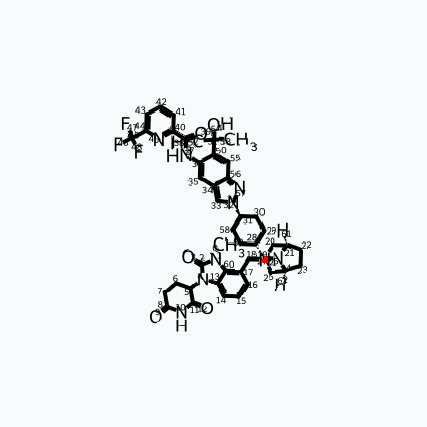 Cn1c(=O)n(C2CCC(=O)NC2=O)c2cccc(CN3C[C@H]4CC[C@@H](C3)N4C[C@H]3CC[C@H](n4cc5cc(NC(=O)c6cccc(C(F)(F)F)n6)c(C(C)(C)O)cc5n4)CC3)c21